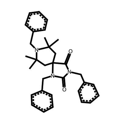 CC1(C)CC2(CC(C)(C)N1Cc1ccccc1)C(=O)N(Cc1ccccc1)C(=O)N2Cc1ccccc1